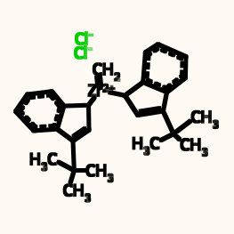 [CH2]=[Zr+2]([CH]1C=C(C(C)(C)C)c2ccccc21)[CH]1C=C(C(C)(C)C)c2ccccc21.[Cl-].[Cl-]